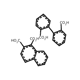 O=C(O)c1ccc2ccccc2c1C(=O)O.O=C(O)c1ccccc1-c1ccccc1C(=O)O